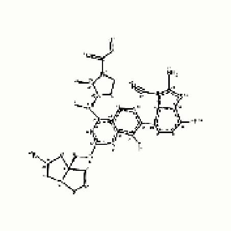 C=CC(=O)N1CC[C@@H](N(C)c2nc(OC[C@@]34CCCN3C[C@H](F)C4)nc3c(F)c(-c4ccc(F)c5sc(N)c(C#N)c45)ncc23)[C@H]1C